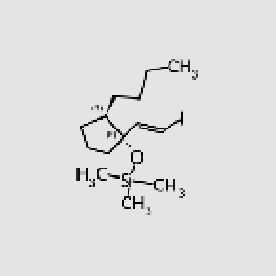 CCCC[C@@H]1CCC[C@@]1(C=CI)O[Si](C)(C)C